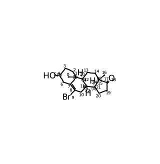 C[C@]12CC[C@H](O)CC1=C(Br)C[C@@H]1[C@@H]2CC[C@]2(C)C(=O)CC[C@@H]12